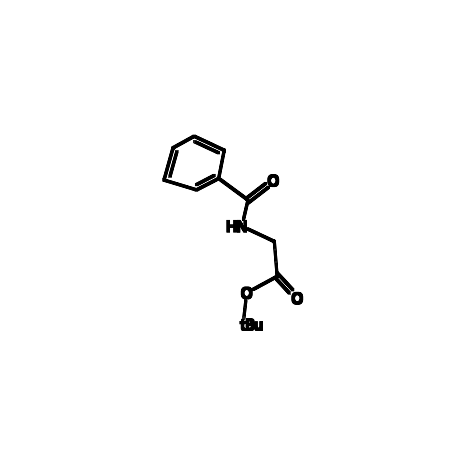 CC(C)(C)OC(=O)CNC(=O)c1ccccc1